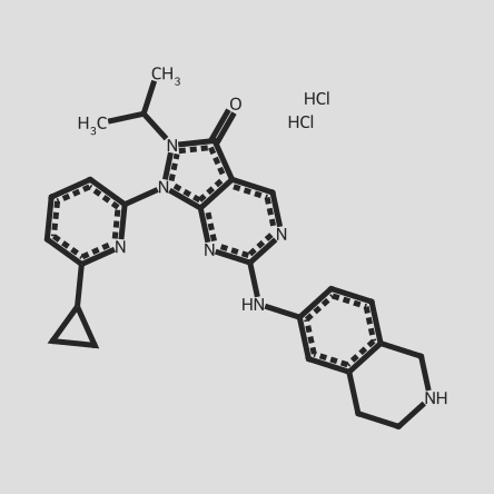 CC(C)n1c(=O)c2cnc(Nc3ccc4c(c3)CCNC4)nc2n1-c1cccc(C2CC2)n1.Cl.Cl